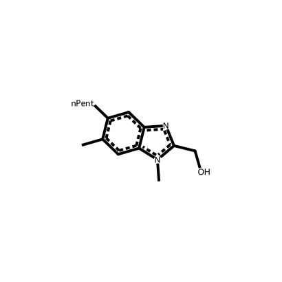 CCCCCc1cc2nc(CO)n(C)c2cc1C